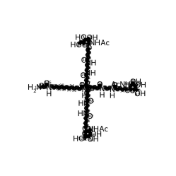 CC(=O)NC1C(O)[C@@H](O)C(CO)O[C@H]1OCCCCC(=O)NCCCNC(=O)CCOCC(COCCC(=O)NCCCNC(=O)CCCCO[C@@H]1OC(CO)[C@H](O)C(O)C1NC(C)=O)(COCCC(=O)NCCCNC(=O)CCCCO[C@@H]1OC(CO)[C@H](O)C(O)C1NC(C)=O)NC(=O)CCCCCCCCCCCCNC(=O)CON